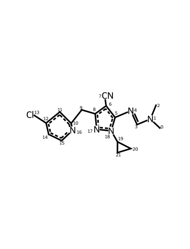 CN(C)/C=N/c1c(C#N)c(Cc2cc(Cl)ccn2)nn1C1CC1